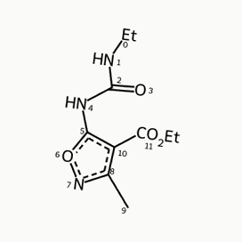 CCNC(=O)Nc1onc(C)c1C(=O)OCC